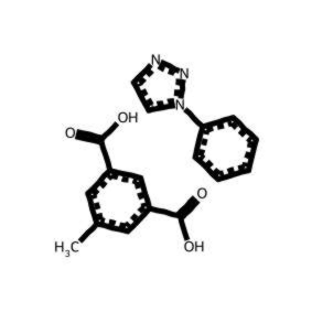 Cc1cc(C(=O)O)cc(C(=O)O)c1.c1ccc(-n2ccnn2)cc1